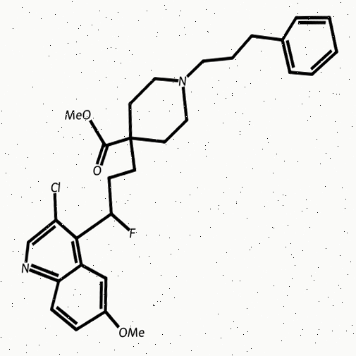 COC(=O)C1(CCC(F)c2c(Cl)cnc3ccc(OC)cc23)CCN(CCCc2ccccc2)CC1